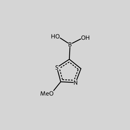 COc1ncc(B(O)O)s1